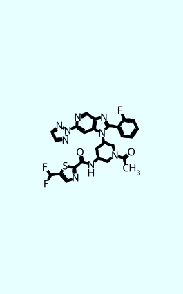 CC(=O)N1CC(NC(=O)c2ncc(C(F)F)s2)CC(n2c(-c3ccccc3F)nc3cnc(-n4nccn4)cc32)C1